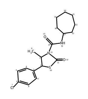 CC1C(c2ccc(Cl)cc2)SC(=O)N1C(=O)NC1CCCCCC1